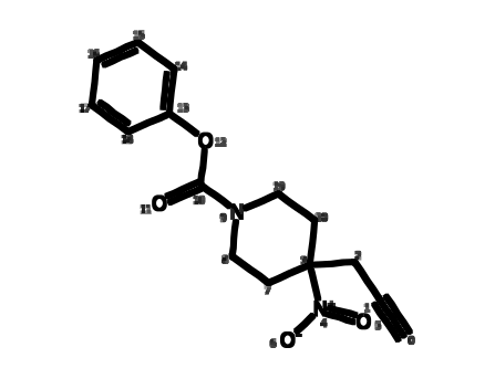 C#CCC1([N+](=O)[O-])CCN(C(=O)Oc2ccccc2)CC1